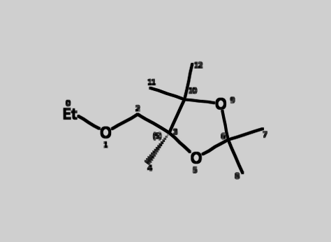 [CH2]COC[C@]1(C)OC(C)(C)OC1(C)C